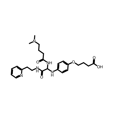 CN(C)CCCC(=O)NC(Nc1ccc(OCCCC(=O)O)cc1)C(=O)NCCc1ccccn1